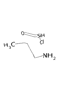 CCCN.O=[SiH]Cl